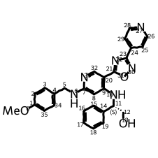 COc1ccc(CNc2cc(N[C@H](CO)c3ccccc3)c(-c3nc(-c4ccncc4)no3)cn2)cc1